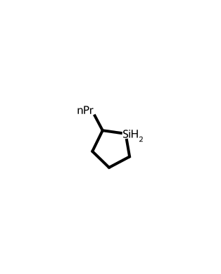 CCCC1CCC[SiH2]1